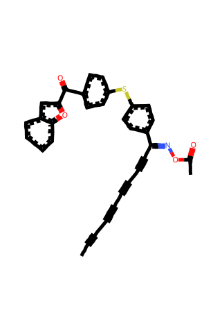 CC#CC#CC#CC#CC(=NOC(C)=O)c1ccc(Sc2ccc(C(=O)c3cc4ccccc4o3)cc2)cc1